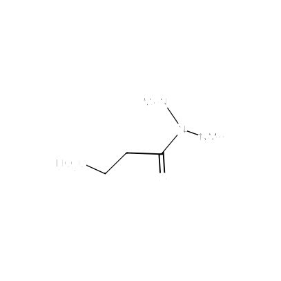 CNN(NC)C(=O)CCC(=O)O